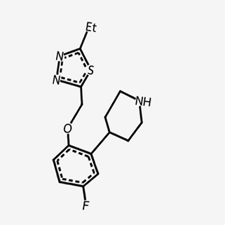 CCc1nnc(COc2ccc(F)cc2C2CCNCC2)s1